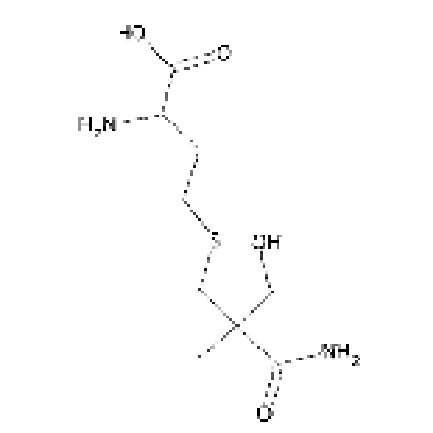 CC(CO)(CSCCC(N)C(=O)O)C(N)=O